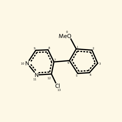 COc1ccccc1-c1ccnnc1Cl